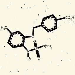 CCCCCCS(=O)(=O)N(c1ccc(C)cc1OCc1ccc(C(=O)O)cc1)C(C)C